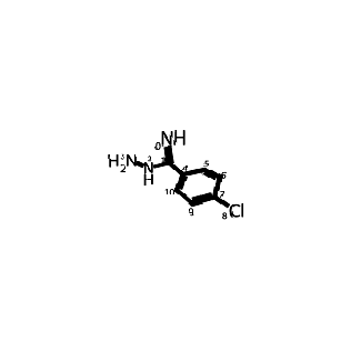 N=C(NN)c1ccc(Cl)cc1